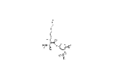 CCCCCCCC(C)N(C(=O)Cc1ccc(OC)c(N=S(=O)=O)c1)C(=O)NC